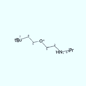 CC(C)NCCOCCC(C)(C)C